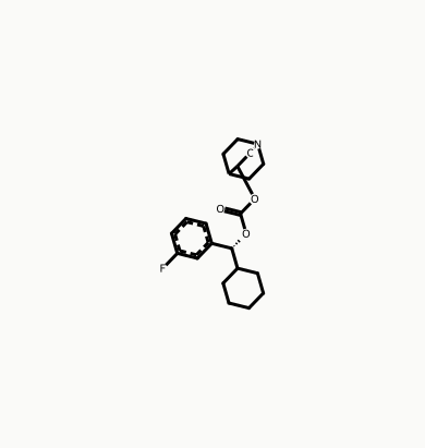 O=C(OC1CN2CCC1CC2)O[C@@H](c1cccc(F)c1)C1CCCCC1